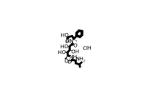 CC(C)C[C@H](N)C(=O)N[C@@H](CO)[C@@H](O)[C@@H](O)[C@H](O)C(=O)N[C@@](C)(CC(=O)O)c1ccccc1.Cl